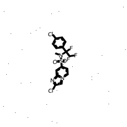 CN(C(F)(c1ccc(Cl)cc1)C(F)F)S(=O)(=O)c1ccn2cc(Cl)nc2c1